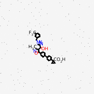 Cc1noc(-c2ccc(-c3ccc(C4(C(=O)O)CC4)cc3)cc2)c1C(O)c1cn(Cc2cccc(C(F)(F)F)c2)nn1